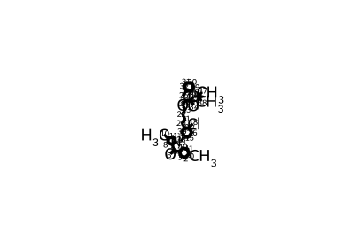 Cc1ccc(C(=O)c2cc(C)cn2Cc2ccc(Cl)c(/C=C/CCO[C@@H](Cc3ccccc3)C(=O)OC(C)C)c2)cc1